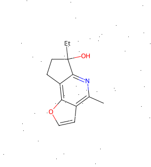 CCC1(O)CCc2c1nc(C)c1ccoc21